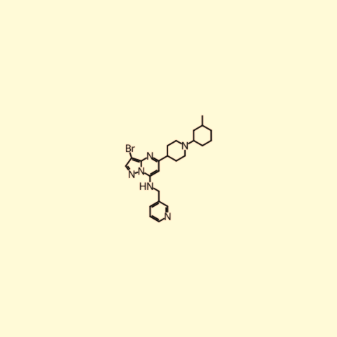 CC1CCCC(N2CCC(c3cc(NCc4cccnc4)n4ncc(Br)c4n3)CC2)C1